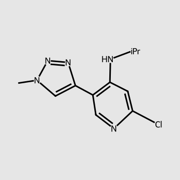 CC(C)Nc1cc(Cl)ncc1-c1cn(C)nn1